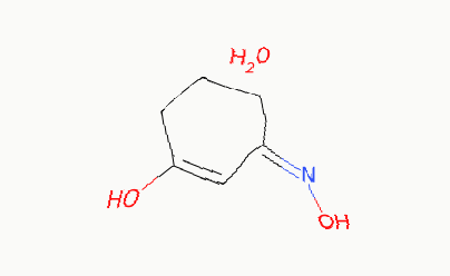 O.ON=C1C=C(O)CCC1